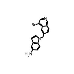 Nc1ccc2c(ccn2Cc2ccc3cncc(Br)c3c2)c1